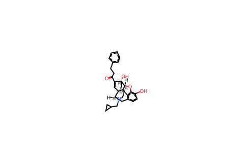 O=C(CCc1ccccc1)C1=C[C@@]23CC[C@]1(O)[C@@H]1Oc4c(O)ccc5c4[C@@]12CCN(CC1CC1)[C@@H]3C5